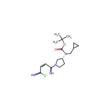 CC(C)(C)OC(=O)N(CC1CC1)[C@@H]1CCN(C(=N)/C=C\C(=N)Cl)C1